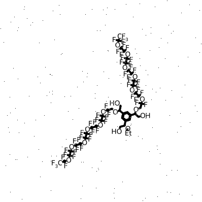 CCOC(CO)c1cc(C(CO)OCC(F)(F)OC(F)(F)C(F)(F)OC(F)(F)C(F)(F)OC(F)(F)C(F)(F)OC(F)(F)C(F)(F)OC(F)(F)C(F)(F)OC(F)(F)C(F)(F)F)cc(C(CO)OCC(F)(F)OC(F)(F)C(F)(F)OC(F)(F)C(F)(F)OC(F)(F)C(F)(F)OC(F)(F)C(F)(F)OC(F)(F)C(F)(F)OC(F)(F)C(F)(F)F)c1